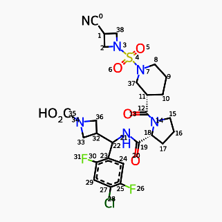 N#CC1CN(S(=O)(=O)N2CCC[C@H](C(=O)N3CCC[C@@H]3C(=O)NC(c3cc(F)c(Cl)cc3F)C3CN(C(=O)O)C3)C2)C1